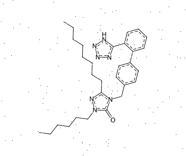 CCCCCCCCc1nn(CCCCCC)c(=O)n1Cc1ccc(-c2ccccc2-c2nnn[nH]2)cc1